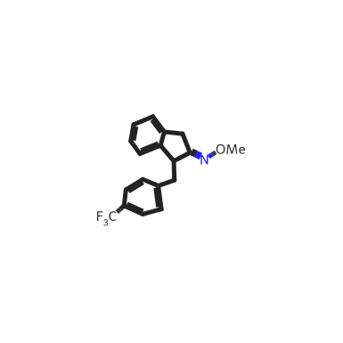 CO/N=C1\Cc2ccccc2C1Cc1ccc(C(F)(F)F)cc1